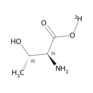 [2H]OC(=O)[C@@H](N)[C@H](C)O